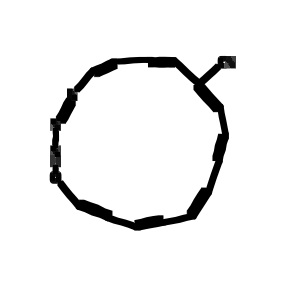 N#CC1=CC=CC=CC=CC=CONN=NC=CC=C1